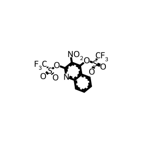 O=[N+]([O-])c1c(OS(=O)(=O)C(F)(F)F)nc2ccccc2c1OS(=O)(=O)C(F)(F)F